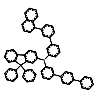 c1ccc(-c2ccc(-c3cccc(N(c4cccc(-c5cccc(-c6cccc7ccccc67)c5)c4)c4ccc5c(c4)C(c4ccccc4)(c4ccccc4)c4ccccc4-5)c3)cc2)cc1